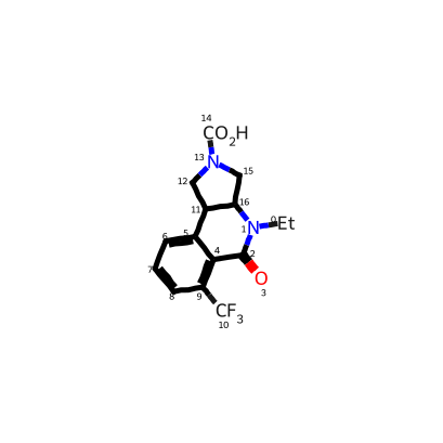 CCN1C(=O)c2c(cccc2C(F)(F)F)C2CN(C(=O)O)CC21